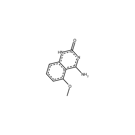 COc1cccc2[nH]c(=O)nc(N)c12